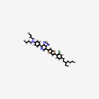 CCCCC(CC)CCc1ccc(-c2cc3sc(-c4cnc(-c5ccc(N(CCCC)CCCC)cc5)c5nsnc45)cc3s2)c(F)c1